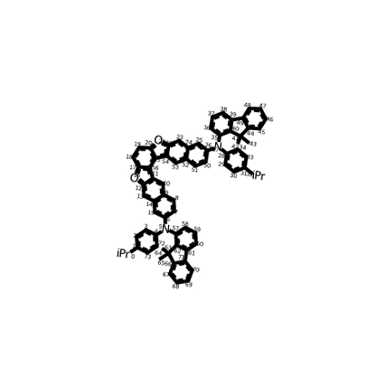 CC(C)c1ccc(N(c2ccc3cc4c(cc3c2)oc2ccc3oc5cc6cc(N(c7ccc(C(C)C)cc7)c7cccc8c7C(C)(C)c7ccccc7-8)ccc6cc5c3c24)c2cccc3c2C(C)(C)c2ccccc2-3)cc1